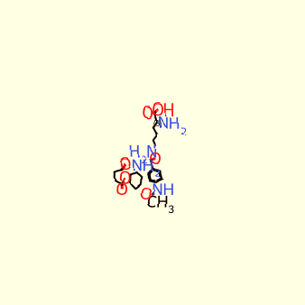 CC(=O)Nc1ccc(C=O)cc1.NC1CCCCC1.NCCCC[C@H](N)C(=O)O.O=C1CCC(=O)O1